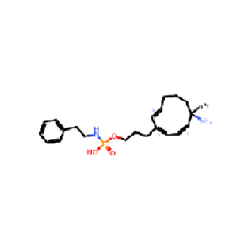 CCCC1(N)\C=C/C=C(CCCOP(=O)(O)NCCc2ccccc2)\C=C\CCC1